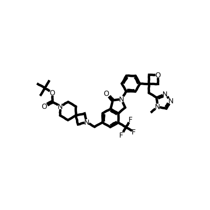 Cn1cnnc1CC1(c2cccc(N3Cc4c(cc(CN5CC6(CCN(C(=O)OC(C)(C)C)CC6)C5)cc4C(F)(F)F)C3=O)c2)COC1